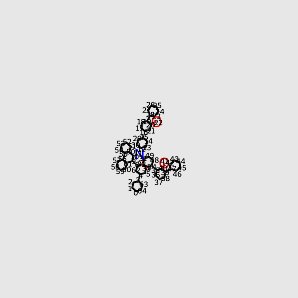 c1ccc(-c2cccc(-c3c(N(c4ccc(-c5ccc6c(c5)oc5ccccc56)cc4)c4ccc(-c5cccc6c5oc5ccccc56)cc4)c4ccccc4c4ccccc34)c2)cc1